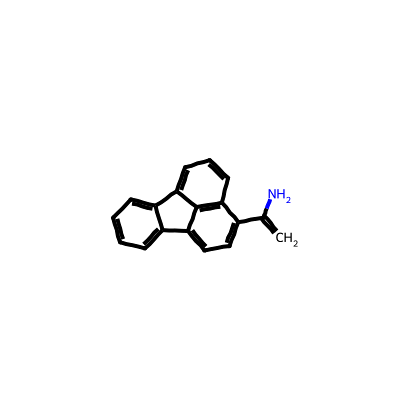 C=C(N)c1ccc2c3c(cccc13)-c1ccccc1-2